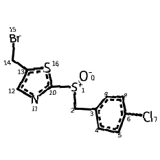 [O-][S+](Cc1ccc(Cl)cc1)c1ncc(CBr)s1